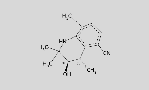 Cc1ccc(C#N)c2c1NC(C)(C)[C@H](O)[C@H]2C